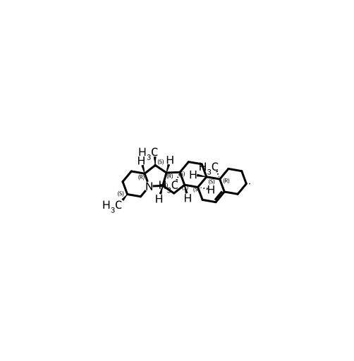 C[C@H]1CC[C@@H]2[C@@H](C)[C@H]3[C@H](C[C@H]4[C@@H]5CC=C6C[CH]CC[C@]6(C)[C@H]5CC[C@]34C)N2C1